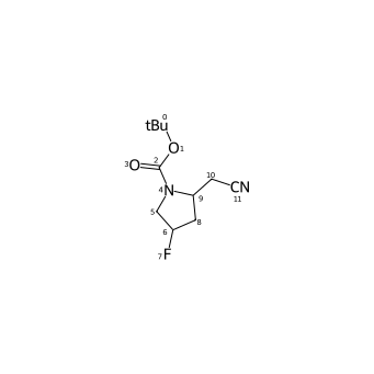 CC(C)(C)OC(=O)N1CC(F)CC1CC#N